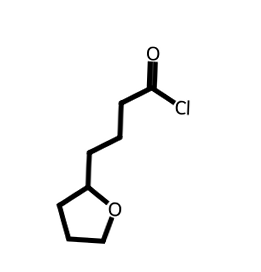 O=C(Cl)CCCC1CCCO1